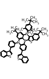 Cc1cc(C(C)(C)C)cc(C)c1N1c2cc(C(C)C)cc3c2B(c2ccc(-c4csc5ccccc45)cc2N3c2cccc(-c3csc4ccccc34)c2)c2sc3ccc(C(C)(C)C)cc3c21